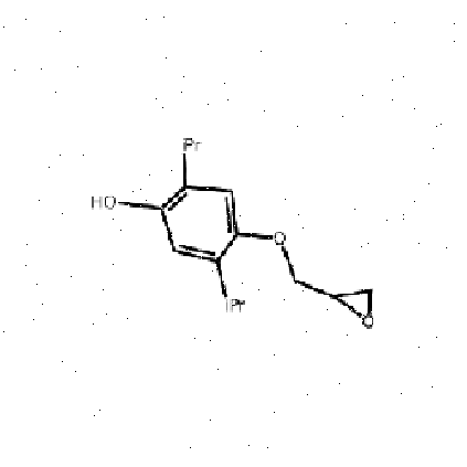 CC(C)c1cc(OCC2CO2)c(C(C)C)cc1O